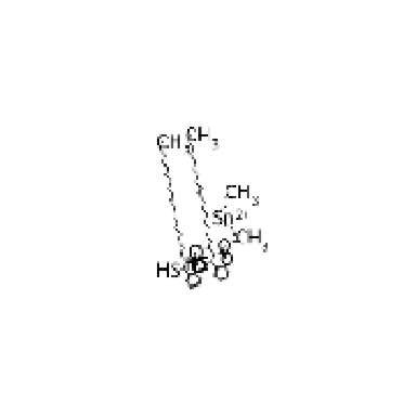 CCCCCCCCC=CCCCCCCCCC(C(=O)[O-])C(S)c1ccccc1.CCCCCCCCC=CCCCCCCCCC(C(=O)[O-])C(S)c1ccccc1.CCC[CH2][Sn+2][CH2]CCC